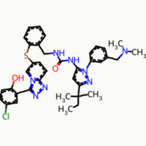 CCC(C)(C)c1cc(NC(=O)NCc2ccccc2Sc2ccc3nnc(-c4cc(Cl)ccc4O)n3c2)n(-c2cccc(CN(C)C)c2)n1